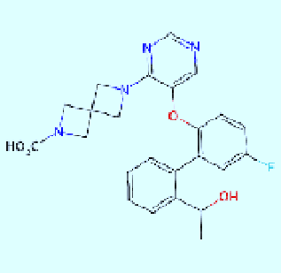 CC(O)c1ccccc1-c1cc(F)ccc1Oc1cncnc1N1CC2(CN(C(=O)O)C2)C1